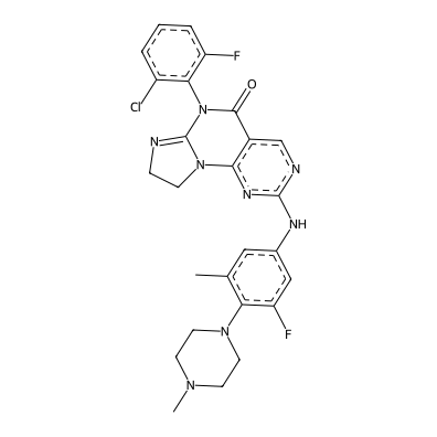 Cc1cc(Nc2ncc3c(n2)N2CCN=C2N(c2c(F)cccc2Cl)C3=O)cc(F)c1N1CCN(C)CC1